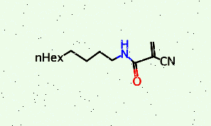 C=C(C#N)C(=O)NCCCCCCCCCC